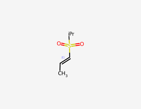 C/C=C/S(=O)(=O)C(C)C